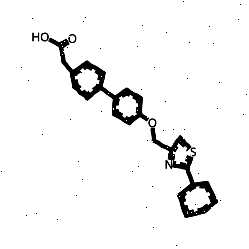 O=C(O)Cc1ccc(-c2ccc(OCc3csc(-c4ccccc4)n3)cc2)cc1